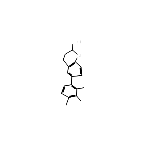 Cc1ccc(-c2ccc3c(c2)CCC(C(=O)O)N3)c(C)c1C